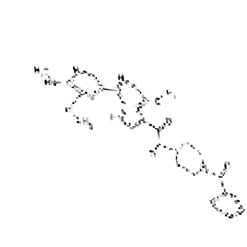 CNc1ncc(-c2ncc(OC)c3c(C(=O)C(=O)N4CCN(C(=O)c5ccccc5)CC4)c[nH]c23)nc1OC